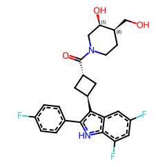 O=C([C@H]1C[C@H](c2c(-c3ccc(F)cc3)[nH]c3c(F)cc(F)cc32)C1)N1CC[C@H](CO)[C@H](O)C1